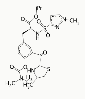 CC1CS[C@@H](C(=O)c2cc(C[C@H](NS(=O)(=O)c3ccn(C)n3)C(=O)OC(C)C)ccc2OC(=O)N(C)C)N1